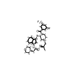 CC(CN1CCN(C(=O)c2cc(F)cc(C(F)(F)F)c2)[C@H](Cc2c[nH]c3ccccc23)C1)=NOCCN1CCOCC1